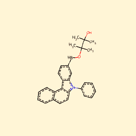 CC(C)(O)C(C)(C)OBc1ccc2c3c4ccccc4ccc3n(-c3ccccc3)c2c1